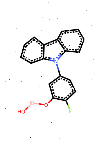 OBOc1cc(-n2c3ccccc3c3ccccc32)ccc1F